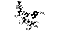 C=C[C@@H]1C[C@]1(NC(=O)[C@@H]1C[C@@H](Oc2nccc3cc(OC)ccc23)CN1C(=O)[C@@H](NC(=O)N[C@H](C(=O)OC)[C@@H](C)CC)C(C)(C)C)C(=O)NS(=O)(=O)C1CC1